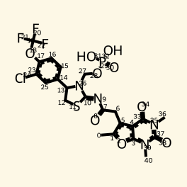 Cc1oc2c(c1CC(=O)/N=C1\SCC(c3ccc(OC(F)(F)F)c(Cl)c3)N1COP(=O)(O)O)c(=O)n(C)c(=O)n2C